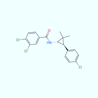 CC1(C)[C@@H](NC(=O)c2ccc(Cl)c(Cl)c2)[C@@H]1c1ccc(Cl)cc1